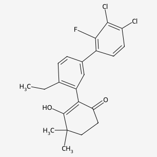 CCc1ccc(-c2ccc(Cl)c(Cl)c2F)cc1C1=C(O)C(C)(C)CCC1=O